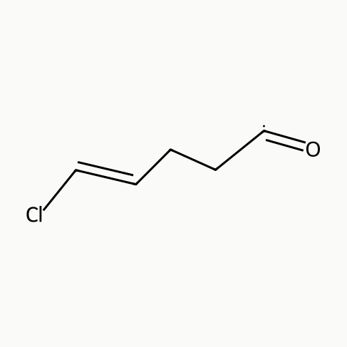 O=[C]CCC=CCl